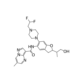 Cc1cnc2c(C(=O)Nc3cc4c(cc3N3CCN(CC(F)F)CC3)OC(C(C)CO)C4)cnn2c1